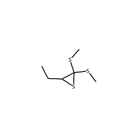 CCC1SC1(SC)SC